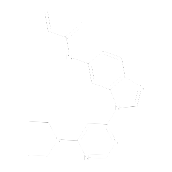 C=CC(=O)Nc1ccc2ncn(-c3cc(N(CC)CC)ncn3)c2c1